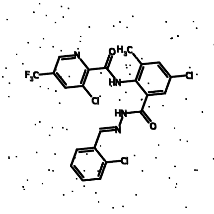 Cc1cc(Cl)cc(C(=O)NN=Cc2ccccc2Cl)c1NC(=O)c1ncc(C(F)(F)F)cc1Cl